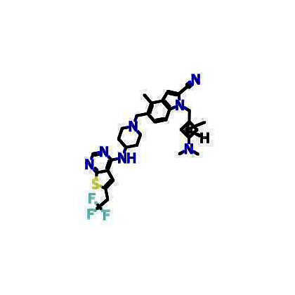 Cc1c(CN2CCC(Nc3ncnc4sc(CC(F)(F)F)cc34)CC2)ccc2c1cc(C#N)n2CC12CC(N(C)C)(C1)[C@H]2C